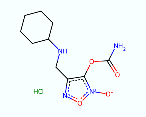 Cl.NC(=O)Oc1c(CNC2CCCCC2)no[n+]1[O-]